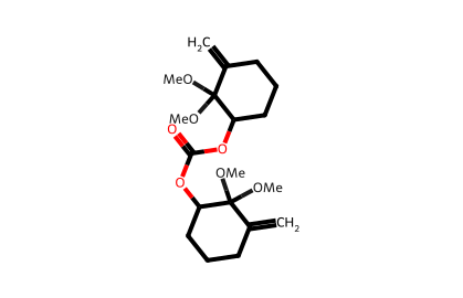 C=C1CCCC(OC(=O)OC2CCCC(=C)C2(OC)OC)C1(OC)OC